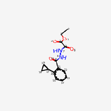 CCOC(=O)C(=O)NNC(=O)c1ccccc1C1CC1